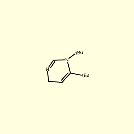 CC(C)(C)C1=CCN=CN1C(C)(C)C